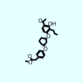 CCCc1c(O[C@@H]2CCC[C@@H](Oc3ccc(CC(=O)OC)cc3)C2)ccc(C(C)=O)c1O